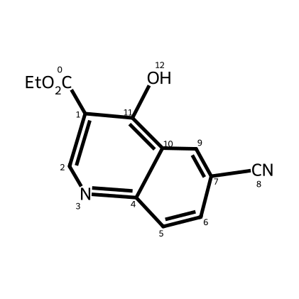 CCOC(=O)c1cnc2ccc(C#N)cc2c1O